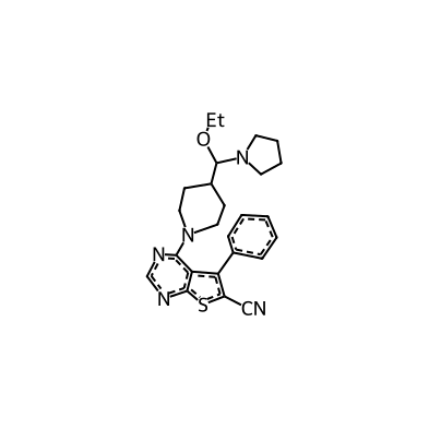 CCOC(C1CCN(c2ncnc3sc(C#N)c(-c4ccccc4)c23)CC1)N1CCCC1